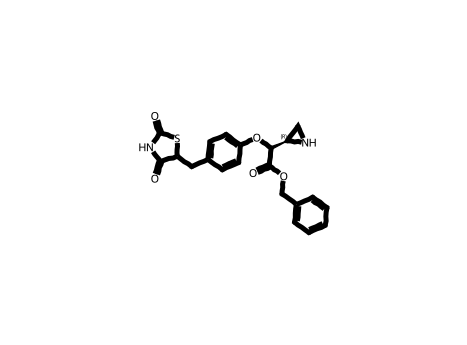 O=C1NC(=O)C(Cc2ccc(OC(C(=O)OCc3ccccc3)[C@H]3CN3)cc2)S1